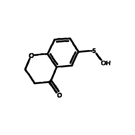 O=C1CCOc2ccc(SO)cc21